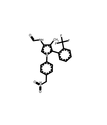 Cc1c(N[C]=O)cn(-c2ccc(C[SH](=O)=O)cc2)c1-c1ccccc1C(F)(F)F